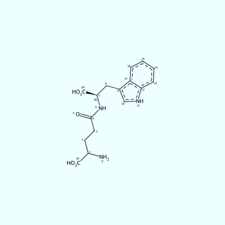 NC(CCC(=O)N[C@H](Cc1c[nH]c2ccccc12)C(=O)O)C(=O)O